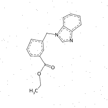 CCOC(=O)c1cccc(Cn2cnc3ccccc32)c1